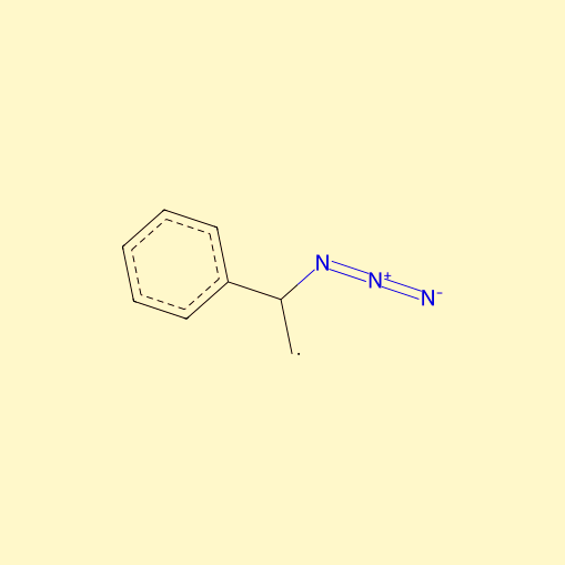 [CH2]C(N=[N+]=[N-])c1ccccc1